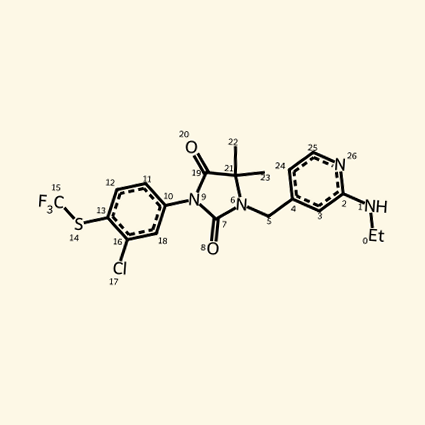 CCNc1cc(CN2C(=O)N(c3ccc(SC(F)(F)F)c(Cl)c3)C(=O)C2(C)C)ccn1